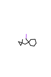 CC1(CC2(CI)CCCCC2)CC1